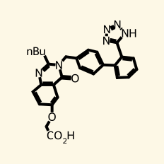 CCCCc1nc2ccc(OCC(=O)O)cc2c(=O)n1Cc1ccc(-c2ccccc2-c2nnn[nH]2)cc1